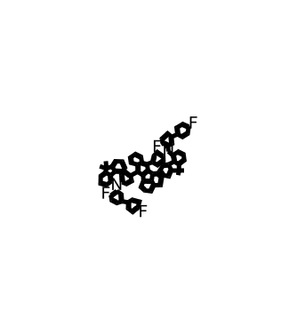 CC1(C)c2ccccc2-c2c(N(c3ccc(-c4c5c(c(-c6ccc(N(c7cc(-c8ccc(F)cc8)ccc7F)c7cccc8c7-c7ccccc7C8(C)C)cc6)c6ccccc46)-c4cccc6cccc-5c46)cc3)c3cc(-c4ccc(F)cc4)ccc3F)cccc21